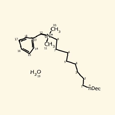 CCCCCCCCCCCCCCCCCC[N+](C)(C)Cc1ccccc1.O